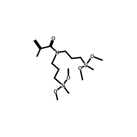 C=C(C)C(=O)N(CCC[Si](C)(OC)OC)CCC[Si](C)(OC)OC